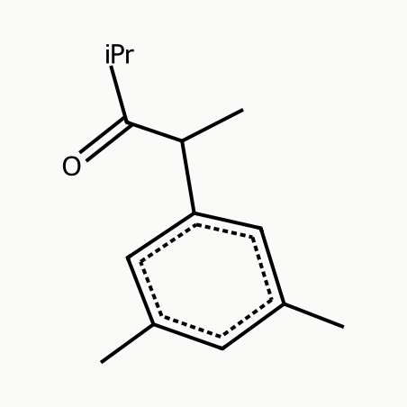 Cc1cc(C)cc(C(C)C(=O)C(C)C)c1